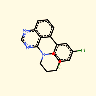 Clc1cc(Cl)cc(-c2cccc3ncnc(N4CCCCC4)c23)c1